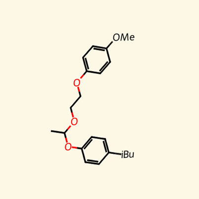 CCC(C)c1ccc(OC(C)OCCOc2ccc(OC)cc2)cc1